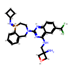 NC1(CNc2nc(N3CCS(=NC4CCC4)c4ccccc4C3)nc3ccc(C(F)F)cc23)COC1